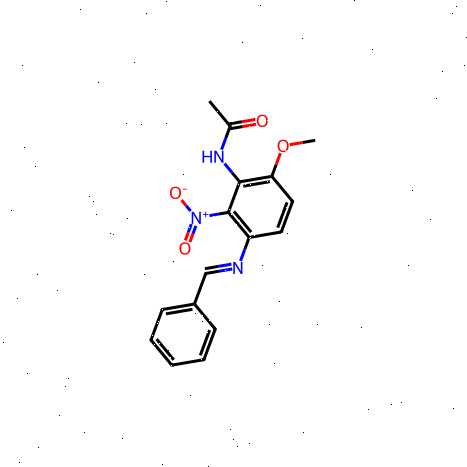 COc1ccc(N=Cc2ccccc2)c([N+](=O)[O-])c1NC(C)=O